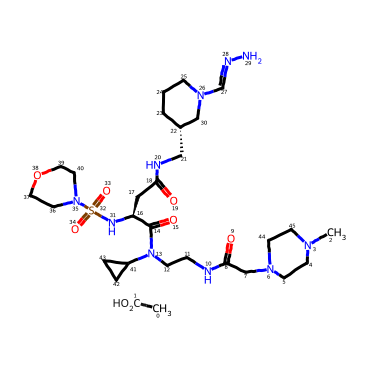 CC(=O)O.CN1CCN(CC(=O)NCCN(C(=O)[C@H](CC(=O)NC[C@@H]2CCCN(C=NN)C2)NS(=O)(=O)N2CCOCC2)C2CC2)CC1